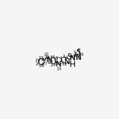 Cc1cc(SNc2cscn2)ncc1N(C)C1CCN(C(C)c2ccccc2)CC1